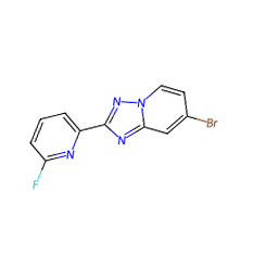 Fc1cccc(-c2nc3cc(Br)ccn3n2)n1